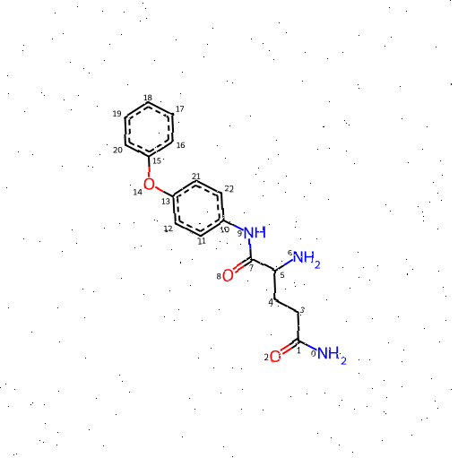 NC(=O)CCC(N)C(=O)Nc1ccc(Oc2ccccc2)cc1